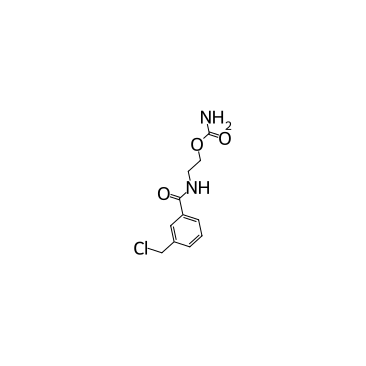 NC(=O)OCCNC(=O)c1cccc(CCl)c1